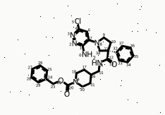 Nc1nnc(Cl)cc1N1CC[C@](C(=O)NCC2CCN(C(=O)OCc3ccccc3)CC2)(c2ccccc2)C1